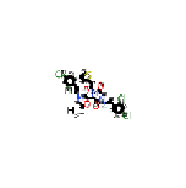 CC(=O)CN(CCc1ccc(Cl)cc1Cl)C(=O)CC1C(=O)N(CCc2ccc(Cl)cc2Cl)CC(=O)N1CCc1cccs1